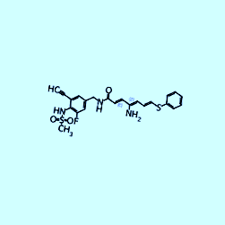 C#Cc1cc(CNC(=O)/C=C/C(N)=C/C=CSc2ccccc2)cc(F)c1NS(C)(=O)=O